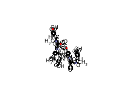 CCN(CC)c1ccc(/N=N/c2nc(N3CCOCC3)c(/C=C(/C(C)=O)C(=O)Nc3ccc(S(=O)(=O)O)cc3)s2)c(Nc2nc(Nc3cc(N(CC)CC)ccc3/N=N/c3nc(N4CCOCC4)c(/C=C(\C(C)=O)C(=O)Nc4ccc(S(=O)(=O)O)cc4)s3)nc(SCCS(=O)(=O)O)n2)c1